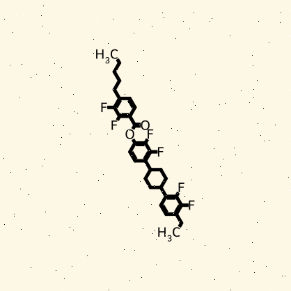 CCCCCc1ccc(C(=O)Oc2ccc(C3CCC(c4ccc(CC)c(F)c4F)CC3)c(F)c2F)c(F)c1F